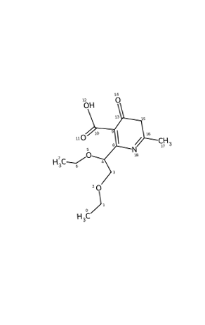 CCOCC(OCC)C1=C(C(=O)O)C(=O)CC(C)=N1